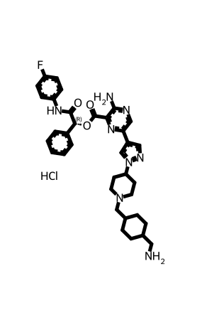 Cl.NCC1CCC(CN2CCC(n3cc(-c4cnc(N)c(C(=O)O[C@@H](C(=O)Nc5ccc(F)cc5)c5ccccc5)n4)cn3)CC2)CC1